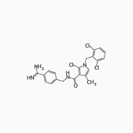 Cc1cn(Cc2c(Cl)cccc2Cl)c(Cl)c1C(=O)NCc1ccc(C(=N)N)cc1